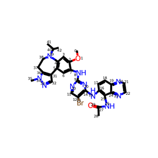 COc1cc2c(cc1Nc1ncc(Br)c(Nc3ccc4nccnc4c3NC(C)=O)n1)-c1cnn(C)c1CCN2C(C)C